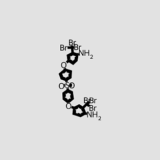 Nc1ccc(Oc2ccc(S(=O)(=O)c3ccc(Oc4ccc(N)c(C(Br)(Br)Br)c4)cc3)cc2)cc1C(Br)(Br)Br